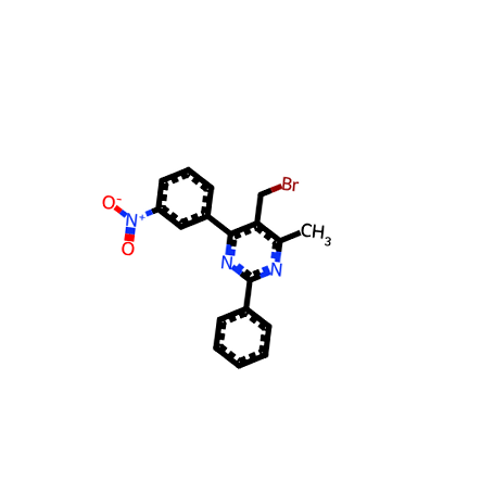 Cc1nc(-c2ccccc2)nc(-c2cccc([N+](=O)[O-])c2)c1CBr